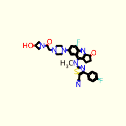 CN(c1nc(-c2ccc(F)cc2)c(C#N)s1)c1c2c(nc3c(F)cc(N4CCN(CC(=O)N5CC(O)C5)CC4)cc13)C(=O)CC2